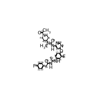 CC(=O)N1CCC(N(C)C(=O)Nc2cc(Oc3ccc(NC(=S)NC(=O)Cc4ccc(F)cc4)cc3F)ncn2)CC1